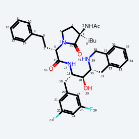 CC[C@@H](C)[C@@]1(NC(C)=O)CCN([C@@H](CCc2ccccc2)C(=O)N[C@@H](Cc2cc(F)cc(F)c2)[C@H](O)[C@H]2Cc3ccccc3CN2)C1=O